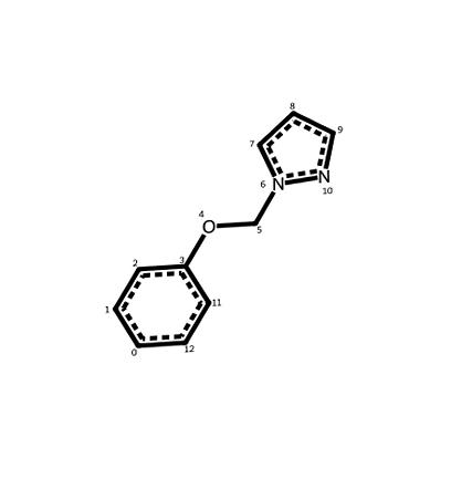 c1ccc(OCn2cccn2)cc1